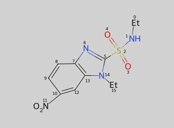 CCNS(=O)(=O)c1nc2ccc([N+](=O)[O-])cc2n1CC